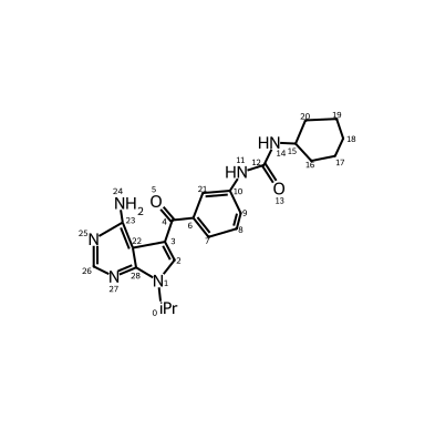 CC(C)n1cc(C(=O)c2cccc(NC(=O)NC3CCCCC3)c2)c2c(N)ncnc21